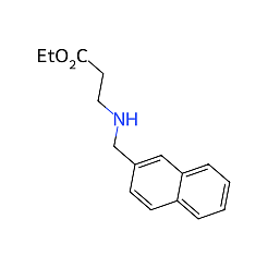 CCOC(=O)CCNCc1ccc2ccccc2c1